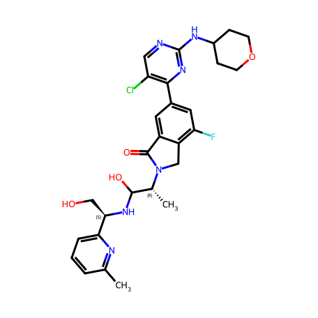 Cc1cccc([C@@H](CO)NC(O)[C@@H](C)N2Cc3c(F)cc(-c4nc(NC5CCOCC5)ncc4Cl)cc3C2=O)n1